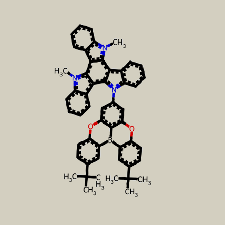 Cn1c2ccccc2c2c1c1c3ccccc3n(-c3cc4c5c(c3)Oc3ccc(C(C)(C)C)cc3B5c3cc(C(C)(C)C)ccc3O4)c1c1c3ccccc3n(C)c21